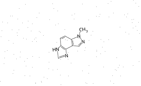 Cn1ncc2c3nc[nH]c3ccc21